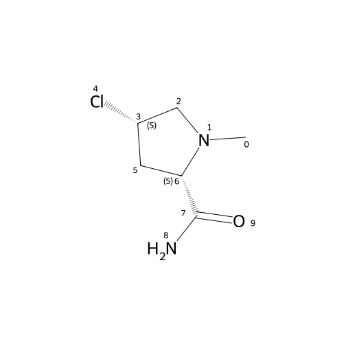 CN1C[C@@H](Cl)C[C@H]1C(N)=O